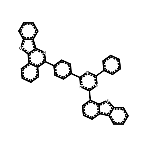 c1ccc(-c2nc(-c3ccc(-c4nc5c6ccccc6oc5c5ccccc45)cc3)nc(-c3cccc4c3sc3ccccc34)n2)cc1